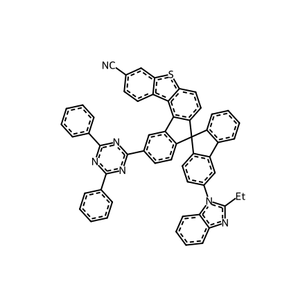 CCc1nc2ccccc2n1-c1ccc2c(c1)-c1ccccc1C21c2ccc(-c3nc(-c4ccccc4)nc(-c4ccccc4)n3)cc2-c2c1ccc1sc3cc(C#N)ccc3c21